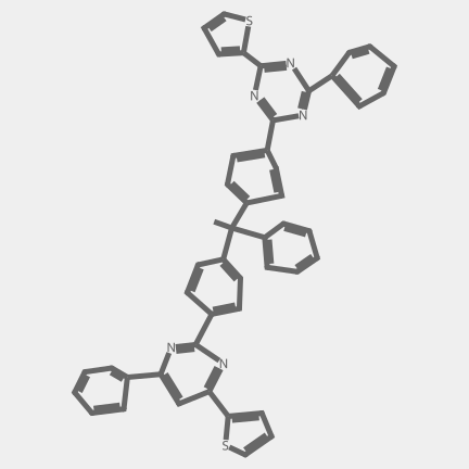 CC(c1ccccc1)(c1ccc(-c2nc(-c3ccccc3)cc(-c3cccs3)n2)cc1)c1ccc(-c2nc(-c3ccccc3)nc(-c3cccs3)n2)cc1